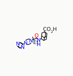 CCC(C)(C(=O)NC1C2CC3CC1CC(C(=O)O)(C3)C2)N1CCN(c2cnccn2)CC1